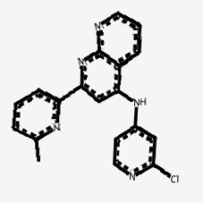 Cc1cccc(-c2cc(Nc3ccnc(Cl)c3)c3cccnc3n2)n1